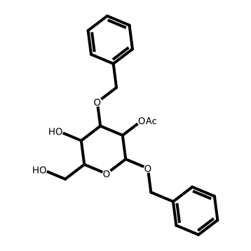 CC(=O)OC1C(OCc2ccccc2)OC(CO)C(O)C1OCc1ccccc1